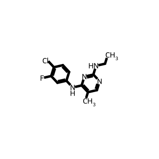 CCNc1ncc(C)c(Nc2ccc(Cl)c(F)c2)n1